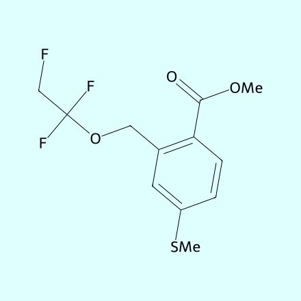 COC(=O)c1ccc(SC)cc1COC(F)(F)CF